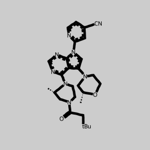 C[C@@H]1CN(c2cn(-c3cc(C#N)ccn3)c3ncnc(N4CCN(C(=O)CC(C)(C)C)C[C@@H]4C)c23)CCO1